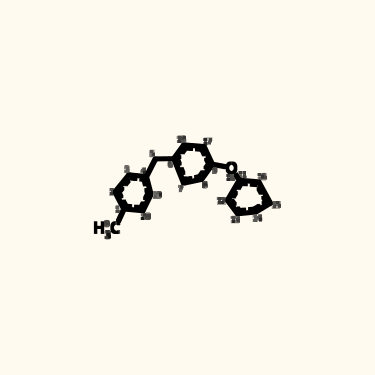 Cc1ccc(Cc2ccc(Oc3ccccc3)cc2)cc1